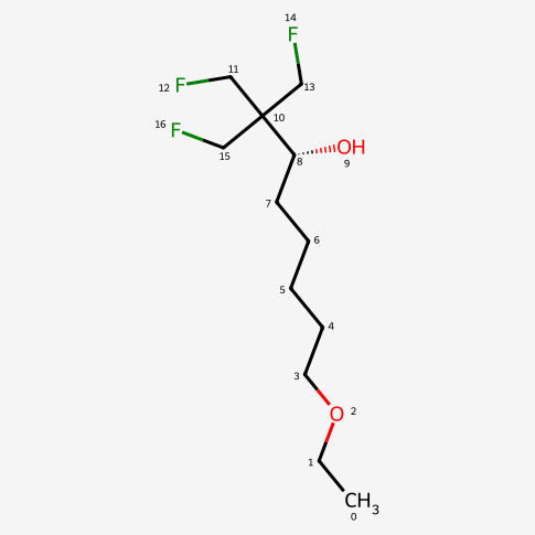 CCOCCCCC[C@@H](O)C(CF)(CF)CF